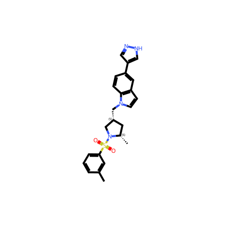 Cc1cccc(S(=O)(=O)N2C[C@H](Cn3ccc4cc(-c5cn[nH]c5)ccc43)C[C@@H]2C)c1